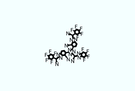 N#CC(=C1N=c2c(F)c(F)c(F)c(F)c2=N1)c1nc(-c2ccc3c(c2C#N)=N/C(=C(\C#N)c2c(F)c(F)c(F)c(F)c2F)N=3)nc(-c2ccc3c(c2C#N)=N/C(=C(\C#N)c2c(F)c(F)c(F)c(F)c2F)N=3)n1